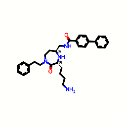 NCCCC[C@H]1N[C@H](CNC(=O)c2ccc(-c3ccccc3)cc2)CCN(CCc2ccccc2)C1=O